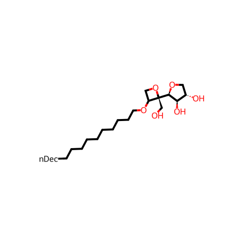 CCCCCCCCCCCCCCCCCCCCOC1CO[C@]1(CO)[C@H]1OC[C@H](O)[C@H]1O